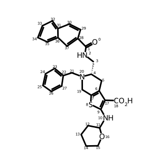 O=C(NC[C@@H]1Cc2c(sc(NC3CCCCO3)c2C(=O)O)CN1Cc1ccccc1)c1ccc2ccccc2c1